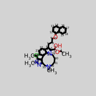 CCOC(O)c1c(CCCOc2cccc3ccccc23)c2ccc(Cl)c3c2n1CCCCN(C)Cc1nn(C)c(CC)c1-3